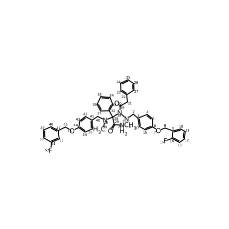 CN(Cc1ccc(OCc2ccccc2F)cc1)N(C(=O)Cc1ccccc1)C(C(N)=O)(c1ccccc1)N(C)Cc1ccc(OCc2cccc(F)c2)cc1